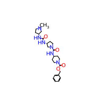 CN1CC[C@H](NC(=O)N[C@@H]2CCN(C(=O)NC3CCN(C(=O)OCc4ccccc4)CC3)C2)C1